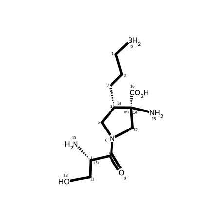 BCCC[C@H]1CN(C(=O)[C@@H](N)CO)C[C@@]1(N)C(=O)O